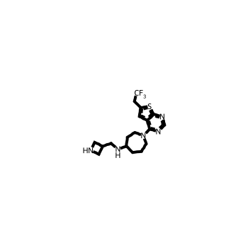 FC(F)(F)Cc1cc2c(N3CCCC(NCC4CNC4)CC3)ncnc2s1